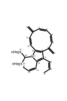 C=c1ccccc(=C)c2c(/C=C\C)c(/C=C\C)n(C(CCCCCCC)CCCCCCC)c2cc1